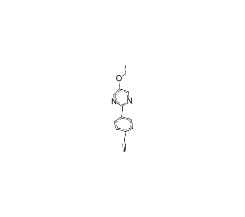 C#Cc1ccc(-c2ncc(OCC)cn2)cc1